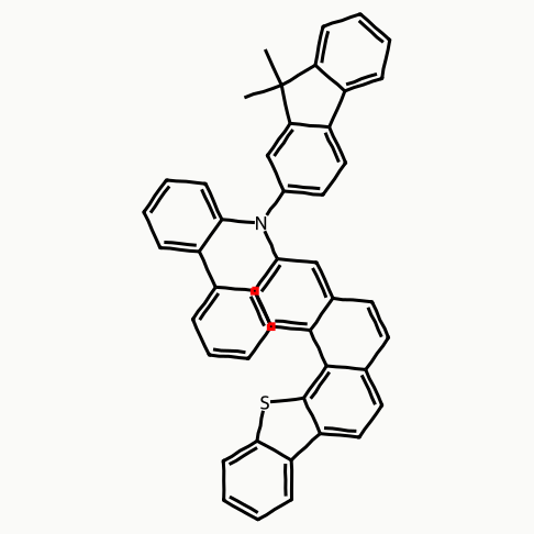 CC1(C)c2ccccc2-c2ccc(N(c3ccc4c(ccc5ccc6c7ccccc7sc6c54)c3)c3ccccc3-c3ccccc3)cc21